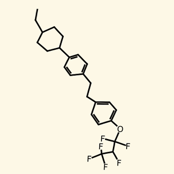 CCC1CCC(c2ccc(CCc3ccc(OC(F)(F)C(F)C(F)(F)F)cc3)cc2)CC1